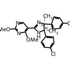 COc1ncc(C2=N[C@@](C)(c3ccc(Cl)cc3)[C@@](C)(c3ccc(Cl)cc3)N2)c(OC)n1